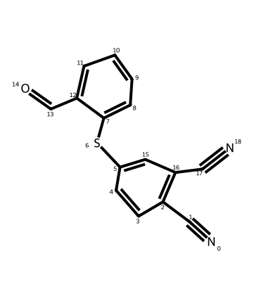 N#Cc1ccc(Sc2ccccc2C=O)cc1C#N